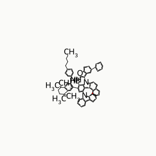 CCCCCc1ccc(Nc2cc3c(cc2-c2cc(-n4c5ccccc5c5ccccc54)c4c5c6ccccc6ccc5n5c4c2Bc2oc4ccc(-c6ccccc6)cc4c2-5)C(C)(C)CCC3(C)C)cc1